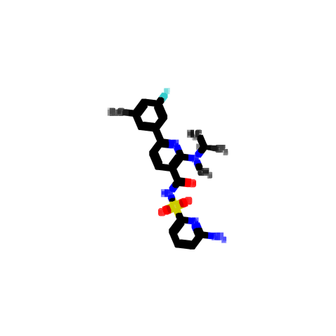 CC(C)COc1cc(F)cc(-c2ccc(C(=O)NS(=O)(=O)c3cccc(N)n3)c(N(C)[C@@H](C)C(F)(F)F)n2)c1